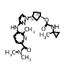 Cc1nc(C(=O)N(C)C)ccc1Nc1ccn([C@H]2CC[C@@H](OC(=O)NC3(C)CC3)C2)n1